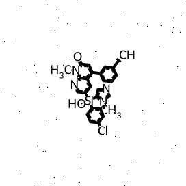 C#Cc1cccc(-c2cc(=O)n(C)c3ncc([Si@](O)(c4ccc(Cl)cc4)c4cncn4C)cc23)c1